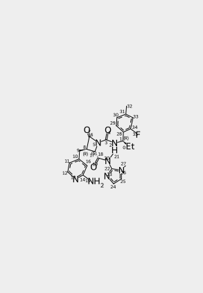 CC[C@@H](NC(=O)N1C(=O)[C@H](Cc2ccnc(N)c2)[C@H]1C(=O)N(C)c1nccn1C)c1ccc(C)cc1F